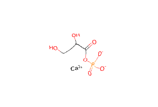 O=C(OP(=O)([O-])[O-])C(O)CO.[Ca+2]